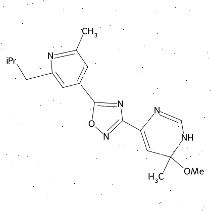 COC1(C)C=C(c2noc(-c3cc(C)nc(CC(C)C)c3)n2)N=CN1